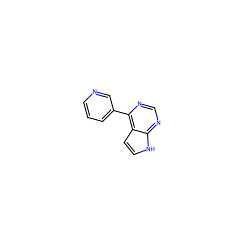 c1cncc(-c2ncnc3[nH]ccc23)c1